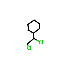 ClCC(Cl)C1[CH]CC[CH]C1